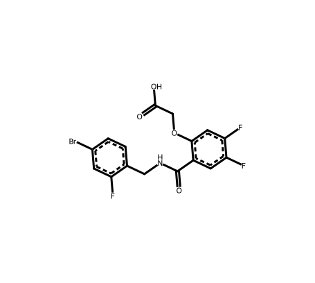 O=C(O)COc1cc(F)c(F)cc1C(=O)NCc1ccc(Br)cc1F